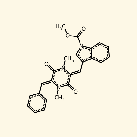 COC(=O)n1cc(/C=c2/c(=O)n(C)/c(=C\c3ccccc3)c(=O)n2C)c2ccccc21